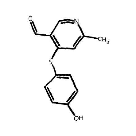 Cc1cc(Sc2ccc(O)cc2)c(C=O)cn1